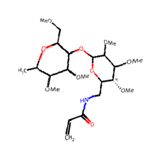 C=CC(=O)NCC1OC(OC2C(COC)OC(C)C(OC)C2OC)C(OC)C(OC)[C@@H]1OC